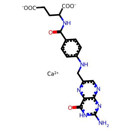 Nc1nc2ncc(CNc3ccc(C(=O)NC(CCC(=O)[O-])C(=O)[O-])cc3)nc2c(=O)[nH]1.[Ca+2]